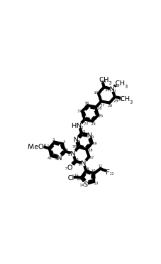 COc1ccc(N2C(=O)N(c3c(CF)csc3Cl)Cc3cnc(Nc4ccc(C5CC(C)N(C)C(C)C5)cc4)nc32)nc1